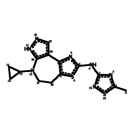 Cc1nc(Nc2nc3c(s2)CCN(C2CC2)c2[nH]ncc2-3)ns1